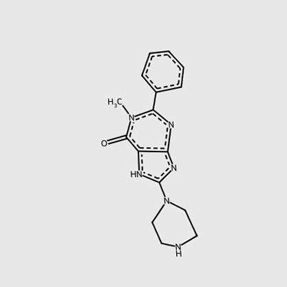 Cn1c(-c2ccccc2)nc2nc(N3CCNCC3)[nH]c2c1=O